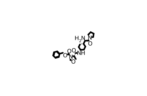 N[C@H](C(=O)N1CCCC1)[C@H]1CC[C@@H](NC(=O)[C@@H]2COCN2C(=O)OCc2ccccc2)CC1